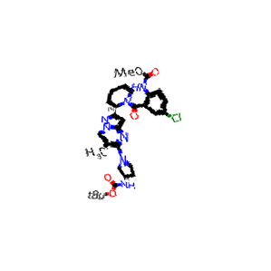 COC(=O)Nc1ccc(Cl)cc1C(=O)N1CCCC[C@H]1c1cc2nc(N3CC[C@H](NC(=O)OC(C)(C)C)C3)c(C)cn2n1